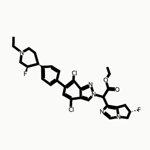 CCOC(=O)C(c1ncn2c1C[C@H](F)C2)n1cc2c(Cl)cc(-c3ccc([C@H]4CCN(CC)C[C@@H]4F)cc3)c(Cl)c2n1